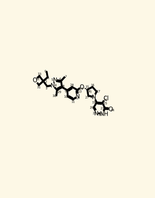 CCC1(Cn2nc(C)c(-c3ccnc(O[C@@H]4CCN(c5cn[nH]c(=O)c5Cl)C4)c3)c2C)COC1